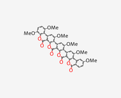 COc1ccc2c(=O)oc3c(c(OC)cc4c5c(OC)cc6c7c(OC)cc8c9c(OC)ccc(OC)c9oc(=O)c8c7oc(=O)c6c5oc(=O)c43)c2c1